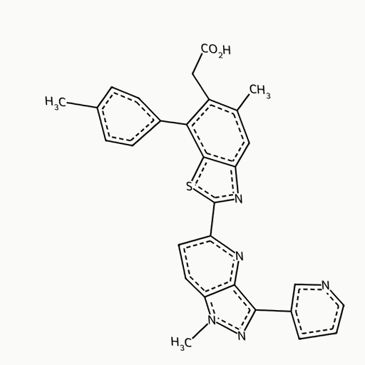 Cc1ccc(-c2c(CC(=O)O)c(C)cc3nc(-c4ccc5c(n4)c(-c4cccnc4)nn5C)sc23)cc1